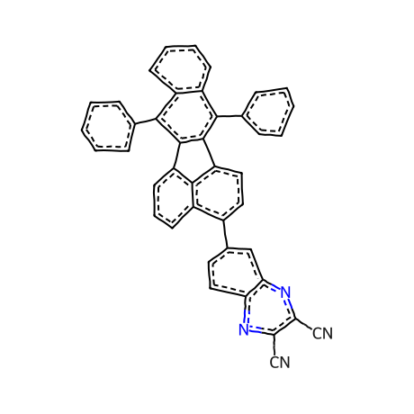 N#Cc1nc2ccc(-c3ccc4c5c(cccc35)-c3c-4c(-c4ccccc4)c4ccccc4c3-c3ccccc3)cc2nc1C#N